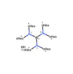 CCCCCC[N](CCCCCC)[Al]([N](CCCCCC)CCCCCC)[N](CCCCCC)CCCCCC.[HH]